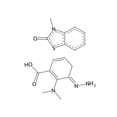 CN(C)C1=C(C(=O)O)C=CCC1=NN.Cn1c(=O)sc2ccccc21